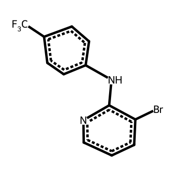 FC(F)(F)c1ccc(Nc2ncccc2Br)cc1